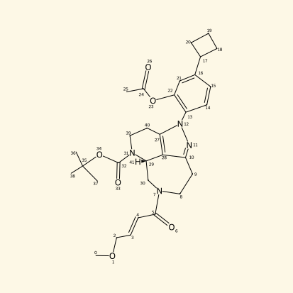 COC/C=C/C(=O)N1CCc2nn(-c3ccc(C4CCC4)cc3OC(C)=O)c3c2[C@H](C1)N(C(=O)OC(C)(C)C)CC3